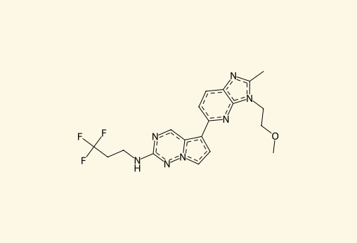 COCCn1c(C)nc2ccc(-c3ccn4nc(NCCC(F)(F)F)ncc34)nc21